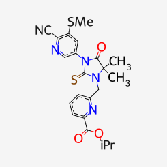 CSc1cc(N2C(=O)C(C)(C)N(Cc3cccc(C(=O)OC(C)C)n3)C2=S)cnc1C#N